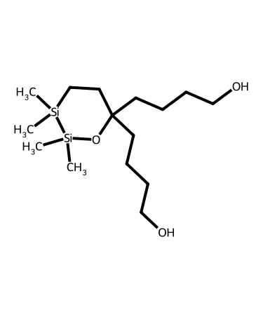 C[Si]1(C)CCC(CCCCO)(CCCCO)O[Si]1(C)C